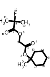 CC1(OC(=O)COC(=O)C(C)(C)F)CCCCC1